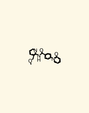 COCc1cccnc1NC(=O)c1ccc(-n2ccccc2=O)cc1